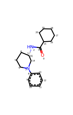 O=C(N[C@H]1CCCN(c2ccccc2)C1)C1CCCCC1